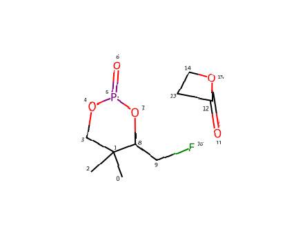 CC1(C)CO[P](=O)OC1CF.O=C1CCO1